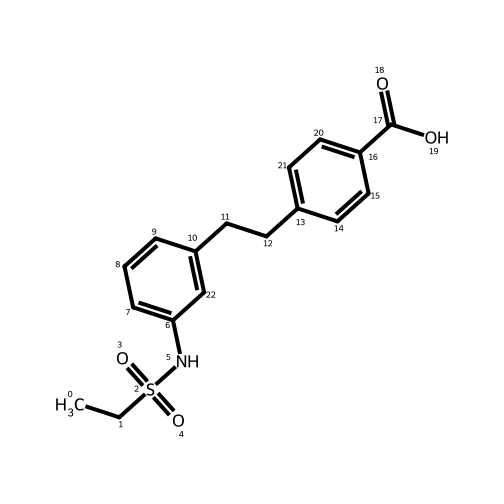 CCS(=O)(=O)Nc1cccc(CCc2ccc(C(=O)O)cc2)c1